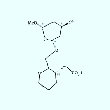 CO[C@@H]1C[C@@H](O)C[C@H](OCC2OCCC[C@H]2CC(=O)O)O1